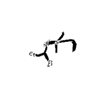 C=C[Si](C)(C)NC(CC)CC